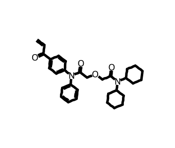 C=CC(=O)c1ccc(N(C(=O)COCC(=O)N(C2CCCCC2)C2CCCCC2)c2ccccc2)cc1